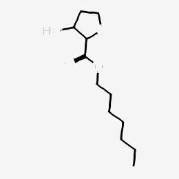 CCCCCCCOC(=O)C1SCCC1O